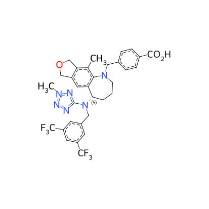 Cc1c2c(cc3c1N(Cc1ccc(C(=O)O)cc1)CCC[C@@H]3N(Cc1cc(C(F)(F)F)cc(C(F)(F)F)c1)c1nnn(C)n1)COC2